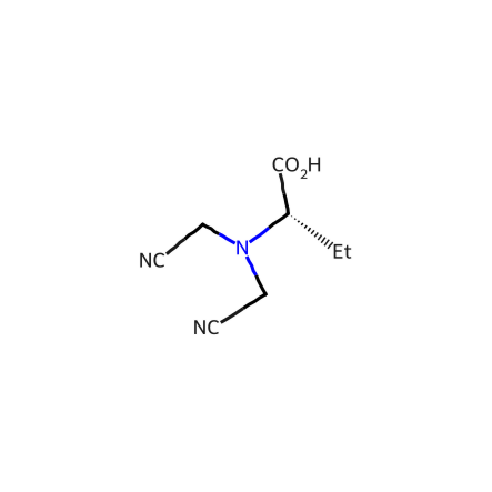 CC[C@@H](C(=O)O)N(CC#N)CC#N